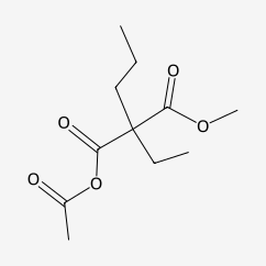 CCCC(CC)(C(=O)OC)C(=O)OC(C)=O